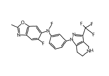 Cc1nc2cc(F)c(N(F)c3cccc(-n4nc(C(F)(F)F)c5c4CCNC5)c3)cc2o1